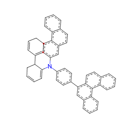 C1=CCC(C2=CCCC=C2)C(N(c2ccc(-c3cc4ccccc4c4c3ccc3ccccc34)cc2)c2ccc3c(ccc4ccccc43)c2)=C1